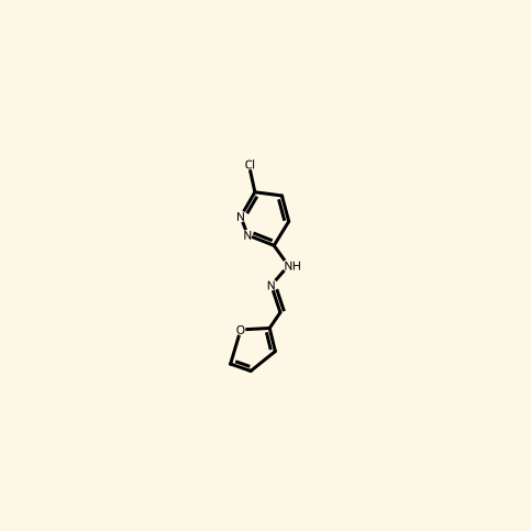 Clc1ccc(N/N=C/c2ccco2)nn1